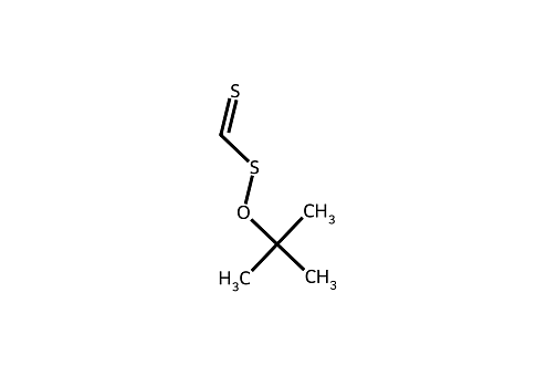 CC(C)(C)OSC=S